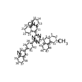 CC1C=Cc2cc(-c3nc(C4=Cc5ccccc5C5(C)C=CC=CC45)nc(-c4ccc(-c5cnc6ccccc6c5)cc4)n3)c3ccccc3c2C1